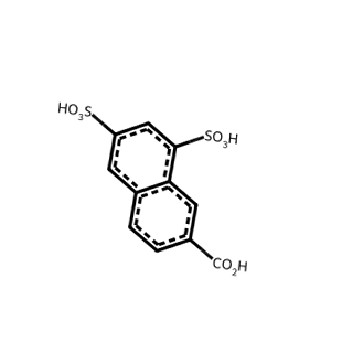 O=C(O)c1ccc2cc(S(=O)(=O)O)cc(S(=O)(=O)O)c2c1